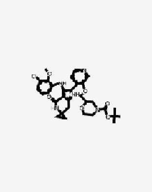 COc1c(Cl)cccc1Nc1c(-c2ccncc2OCC2CN(C(=O)OC(C)(C)C)CCO2)[nH]c2c1C(=O)NC1(CC1)C2